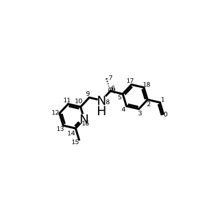 C=Cc1ccc([C@@H](C)NCc2cccc(C)n2)cc1